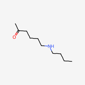 CCCCNCCCCC(C)=O